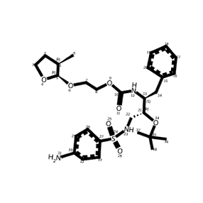 C[C@@H]1CCO[C@@H]1OCCOC(=O)N[C@@H](Cc1ccccc1)[C@@H](CNS(=O)(=O)c1ccc(N)cc1)OC(C)(C)C